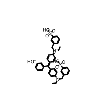 CCN(Cc1cccc(S(=O)(=O)O)c1)c1ccc(C(=C2C=CC(=[N+](CC)Cc3cccc(S(=O)(=O)O)c3)C=C2)c2ccccc2)cc1.[OH-]